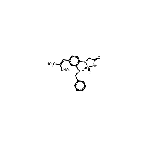 CC(=O)N/C(=C\c1ccc(N2CC(=O)NS2(=O)=O)c(OCc2ccccc2)c1)C(=O)O